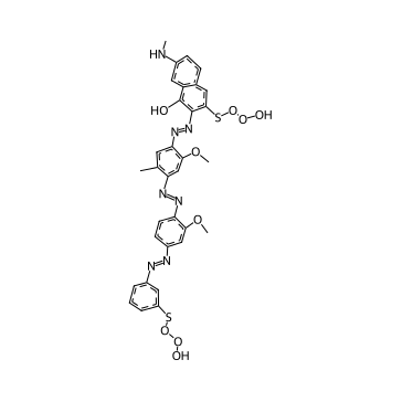 CNc1ccc2cc(SOOO)c(N=Nc3cc(C)c(N=Nc4ccc(N=Nc5cccc(SOOO)c5)cc4OC)cc3OC)c(O)c2c1